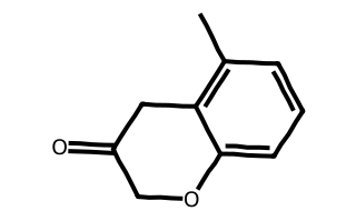 Cc1cccc2c1CC(=O)CO2